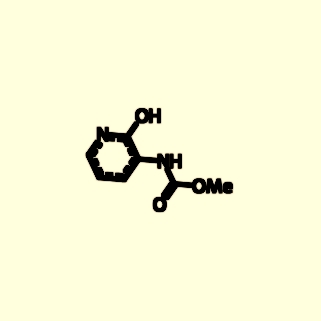 COC(=O)Nc1cccnc1O